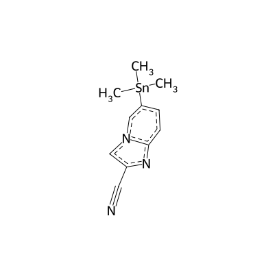 [CH3][Sn]([CH3])([CH3])[c]1ccc2nc(C#N)cn2c1